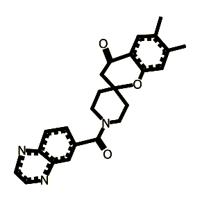 Cc1cc2c(cc1C)C(=O)CC1(CCN(C(=O)c3ccc4nccnc4c3)CC1)O2